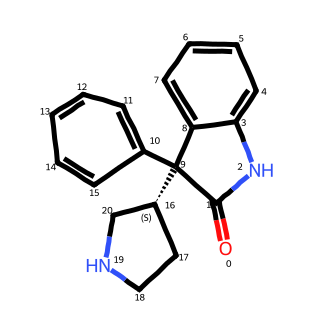 O=C1Nc2ccccc2C1(c1ccccc1)[C@@H]1CCNC1